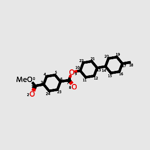 COC(=O)C1CCC(C(=O)OC2CCC(C3CCC(C)CC3)CC2)CC1